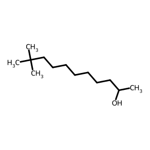 CC(O)CCCCCCCC(C)(C)C